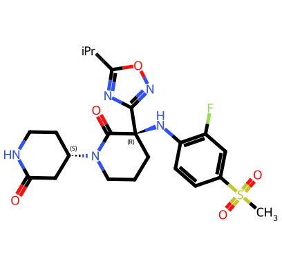 CC(C)c1nc([C@]2(Nc3ccc(S(C)(=O)=O)cc3F)CCCN([C@H]3CCNC(=O)C3)C2=O)no1